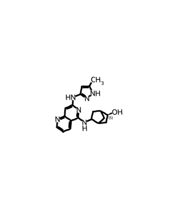 Cc1cc(Nc2cc3ncccc3c(NC3CC4CC3C[C@@H]4O)n2)n[nH]1